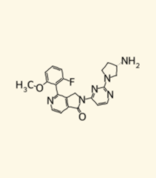 COc1cccc(F)c1-c1nccc2c1CN(c1ccnc(N3CC[C@H](N)C3)n1)C2=O